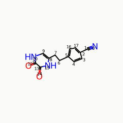 N#Cc1ccc(CCc2c[nH]c(=O)c(=O)[nH]2)cc1